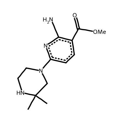 COC(=O)c1ccc(N2CCNC(C)(C)C2)nc1N